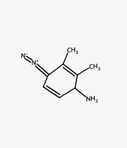 CC1=C(C)C(N)C=CC1=[N+]=[N-]